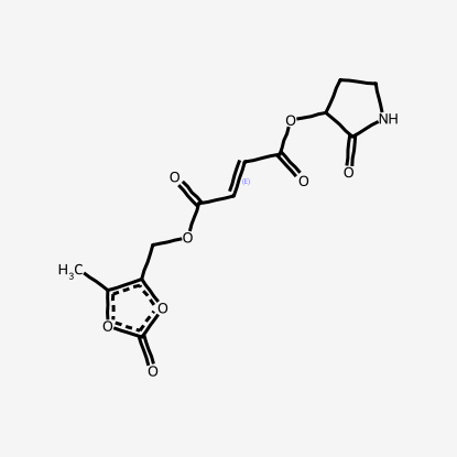 Cc1oc(=O)oc1COC(=O)/C=C/C(=O)OC1CCNC1=O